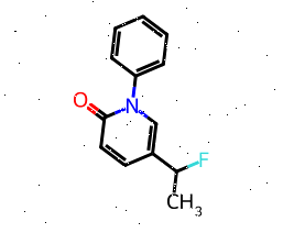 CC(F)c1ccc(=O)n(-c2ccccc2)c1